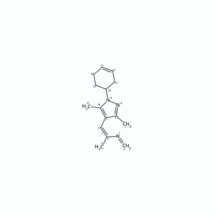 C=N/C(C)=C\c1c(C)nn(C2CC=CCC2)c1C